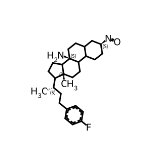 C[C@@H](CCc1ccc(F)cc1)C1CCC2[C@]1(C)CCC1C3CC[C@H](N=O)CC3CC[C@]12N